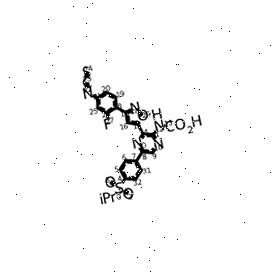 CC(C)S(=O)(=O)c1ccc(-c2cnc(NC(=O)O)c(-c3cc(-c4ccc(N=C=S)cc4F)no3)n2)cc1